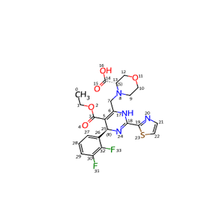 CCOC(=O)C1=C(CN2CCOC[C@H]2C(=O)O)NC(c2nccs2)=N[C@H]1c1cccc(F)c1F